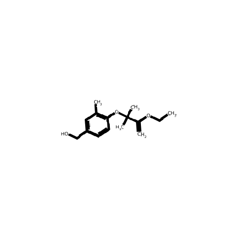 C=C(OCC)C(C)(C)Oc1ccc(CO)cc1C